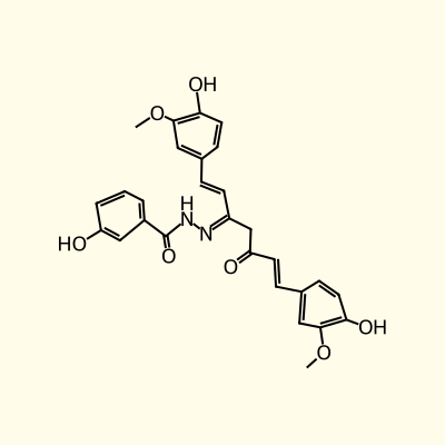 COc1cc(C=CC(=O)CC(C=Cc2ccc(O)c(OC)c2)=NNC(=O)c2cccc(O)c2)ccc1O